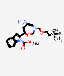 CC(C)(C)OC(=O)n1c(C2=CC(N)=CN(COCC[Si](C)(C)C)CO2)cc2ccccc21